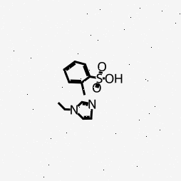 CCn1ccnc1.Cc1ccccc1S(=O)(=O)O